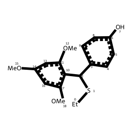 CCSC(c1ccc(O)cc1)c1c(OC)cc(OC)cc1OC